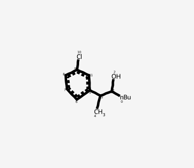 CCCC[C](O)C(C)c1cccc(Cl)c1